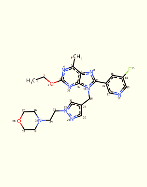 CCOc1nc(C)c2nc(-c3cncc(F)c3)n(Cc3cnn(CCN4CCOCC4)c3)c2n1